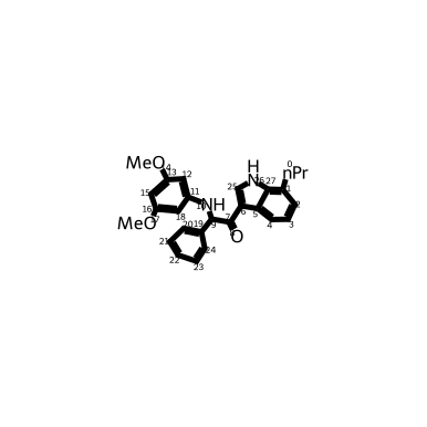 CCCc1cccc2c(C(=O)C(Nc3cc(OC)cc(OC)c3)c3ccccc3)c[nH]c12